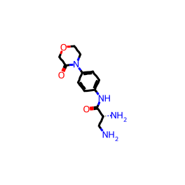 NC[C@@H](N)C(=O)Nc1ccc(N2CCOCC2=O)cc1